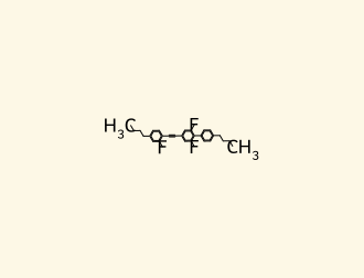 CCCCc1ccc(-c2c(F)cc(C#Cc3ccc(CCCC)cc3F)cc2F)cc1